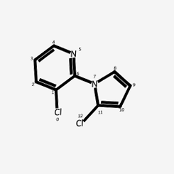 Clc1cccnc1-n1[c]ccc1Cl